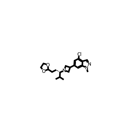 CC(C)[C@H](CCC1OCCO1)N1CC(c2cc(Cl)c3cnn(C)c3c2)C1